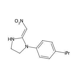 CC(C)c1ccc(N2CCNC2=C[N+](=O)[O-])cc1